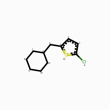 Clc1ccc(C[C]2CCCCC2)s1